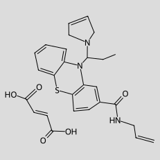 C=CCNC(=O)c1ccc2c(c1)N(C(CC)N1CC=CC1)c1ccccc1S2.O=C(O)C=CC(=O)O